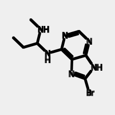 CCC(NC)Nc1ncnc2[nH]c(Br)nc12